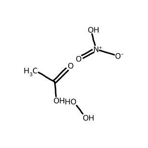 CC(=O)O.O=[N+]([O-])O.OO